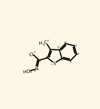 Cc1c(C(Cl)=NO)sc2ccccc12